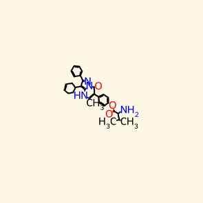 Cc1[nH]c2c(C3CC=CCC3)c(-c3ccccc3)nn2c(=O)c1-c1ccc(OC(=O)C(N)C(C)C)cc1